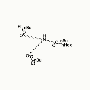 CCCCCCC(CCCC)COC(=O)CCCCNC(CCCCCCCCC(=O)OCC(CC)CCCC)CCCCCCCCC(=O)OCC(CC)CCCC